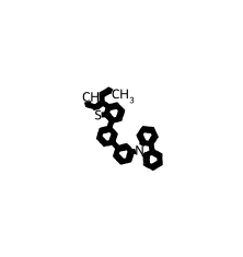 C=Cc1sc2c(-c3cccc(-c4cccc(-n5c6ccccc6c6ccccc65)c4)c3)cccc2c1/C=C\C